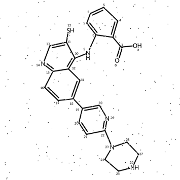 O=C(O)c1ccccc1Nc1c(S)cnc2ccc(-c3ccc(N4CCNCC4)nc3)cc12